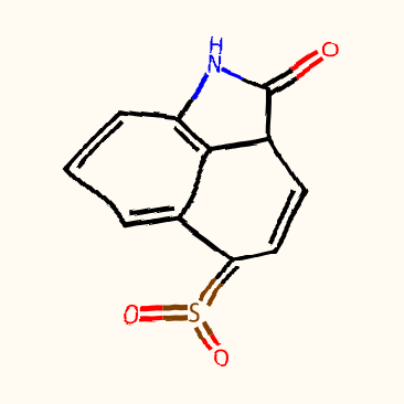 O=C1Nc2cccc3c2C1C=CC3=S(=O)=O